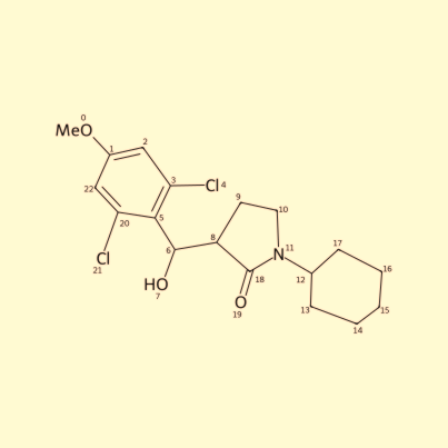 COc1cc(Cl)c(C(O)C2CCN(C3CCCCC3)C2=O)c(Cl)c1